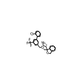 NCCC1(COCc2cc(-c3ccccc3Cl)cc(C(F)(F)F)c2)OCc2ccccc21